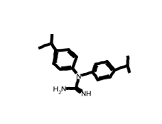 CC(C)c1ccc(N(C(=N)N)c2ccc(C(C)C)cc2)cc1